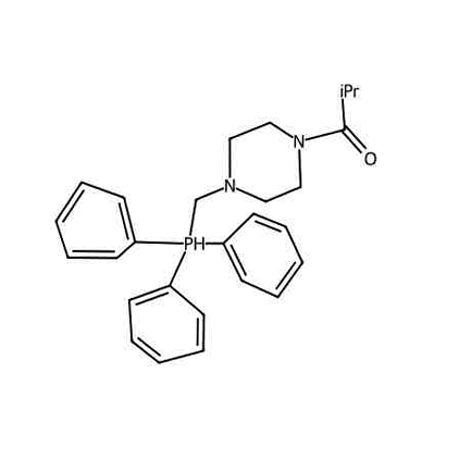 CC(C)C(=O)N1CCN(C[PH](c2ccccc2)(c2ccccc2)c2ccccc2)CC1